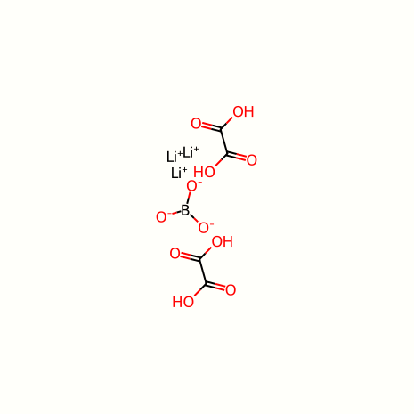 O=C(O)C(=O)O.O=C(O)C(=O)O.[Li+].[Li+].[Li+].[O-]B([O-])[O-]